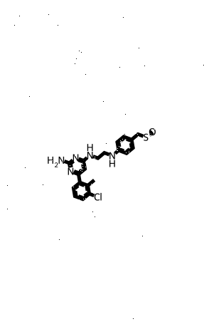 Cc1c(Cl)cccc1-c1cc(NCCNc2ccc(C[S+]=O)cc2)nc(N)n1